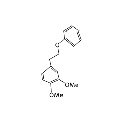 COc1ccc(CCOc2cc[c]cc2)cc1OC